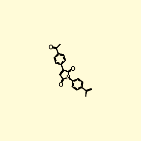 C=C(C)c1ccc(N2C(=O)C=C(c3ccc(C(C)=O)cc3)C2=O)cc1